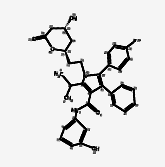 CC(C)c1c(C(=O)Nc2cccc(O)c2)c(-c2ccccc2)c(-c2ccc(F)cc2)n1CC[C@@H]1C[C@@H](O)CC(=O)O1